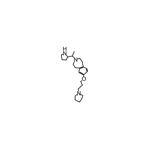 CC(C1CCCN1)N1CCc2ccc(OCCCN3CCCCC3)cc2CC1